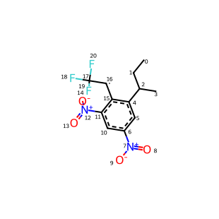 CCC(C)c1cc([N+](=O)[O-])cc([N+](=O)[O-])c1[CH]C(F)(F)F